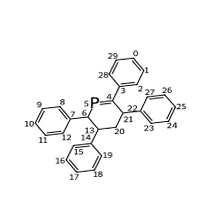 c1ccc(C2=PC(c3ccccc3)C(c3ccccc3)CC2c2ccccc2)cc1